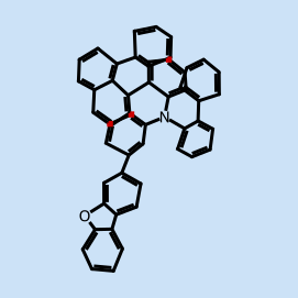 c1ccc(-c2ccccc2N(c2cccc(-c3ccc4c(c3)oc3ccccc34)c2)c2ccccc2-c2cccc3cccc(-c4ccccc4)c23)cc1